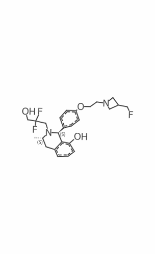 C[C@H]1Cc2cccc(O)c2[C@H](c2ccc(OCCN3CC(CF)C3)cc2)N1CC(F)(F)CO